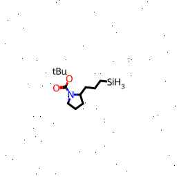 CC(C)(C)OC(=O)N1CCCC1CCC[SiH3]